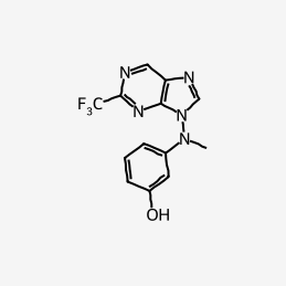 CN(c1cccc(O)c1)n1cnc2cnc(C(F)(F)F)nc21